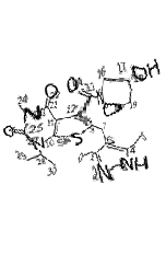 Cc1n[nH]c(C)c1Cc1sc2c(c1C(=O)N1C[C@H](O)CO1)c(=O)n(C)c(=O)n2C(C)C